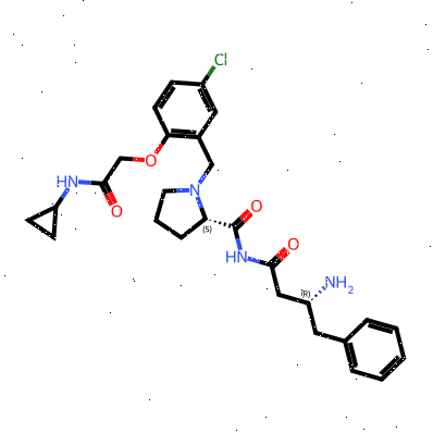 N[C@@H](CC(=O)NC(=O)[C@@H]1CCCN1Cc1cc(Cl)ccc1OCC(=O)NC1CC1)Cc1ccccc1